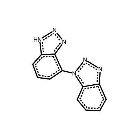 c1ccc2c(c1)nnn2-c1cccc2[nH]nnc12